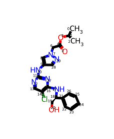 CC(C)OC(=O)Cn1cc(Nc2ncc(Cl)c(N[C@H](CO)c3ccccc3)n2)cn1